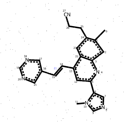 Cc1cc2nc(-c3cncn3C)cc(/C=C/c3cncnc3)c2cc1CCC#N